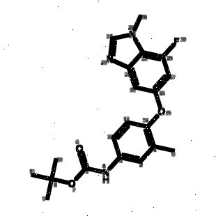 Cc1cc(NC(=O)OC(C)(C)C)ccc1Oc1cc(F)c2c(c1)ncn2C